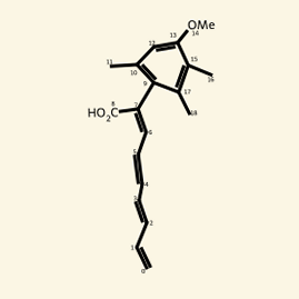 C=CC=CC=CC=C(C(=O)O)c1c(C)cc(OC)c(C)c1C